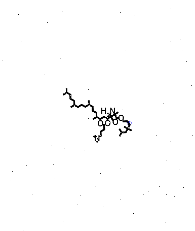 CC(C)CCCC(C)CCCC(C)CCCC(C)CCC(OC(=O)CCCN(C)C)C(C)(C)C(C)(N)C(=O)OC/C=C\C(C)(C)CC(C)C